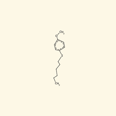 CCCCCCSc1ccc(OC)cc1